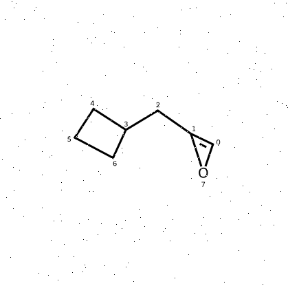 C1=C(CC2CCC2)O1